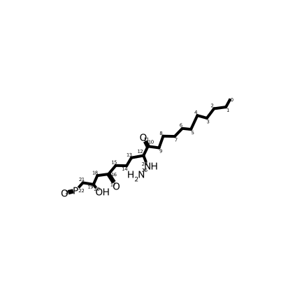 CCCCCCCCCCC(=O)C(CCCC(=O)CC(O)CP=O)NN